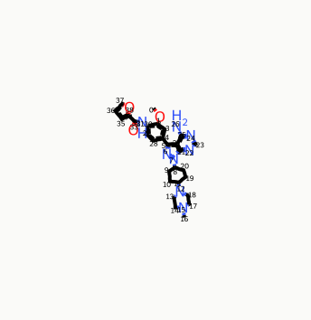 COc1cc(-c2nn(C3CCC(N4CCN(C)CC4)CC3)c3ncnc(N)c23)ccc1NC(=O)c1ccco1